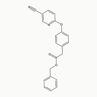 N#Cc1ccc(Oc2ccc(CC(=O)OCc3ccccc3)cc2)nc1